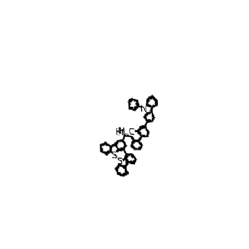 CCC(Cc1ccccc1-c1ccc(-c2ccc3c4ccccc4n(-c4ccccc4)c3c2)cc1C)c1cc(-c2cccc3c2sc2ccccc23)c2sc3ccccc3c2c1